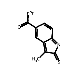 CCCC(=O)c1ccc2c(c1)=C(C)C(=S)N=2